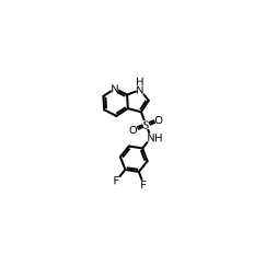 O=S(=O)(Nc1ccc(F)c(F)c1)c1c[nH]c2ncccc12